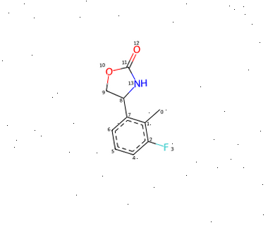 Cc1c(F)cccc1C1COC(=O)N1